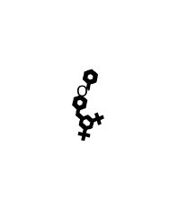 CC(C)(C)C1=CC(=Cc2ccc(OCc3ccccc3)cc2)C=C(C(C)(C)C)C1